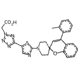 Cc1ccccc1C1=CC2(CCN(c3ncc(-c4nnn(CC(=O)O)n4)s3)CC2)Oc2ccccc21